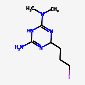 CN(C)C1=NC(CCCI)N=C(N)N1